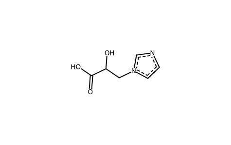 O=C(O)C(O)Cn1ccnc1